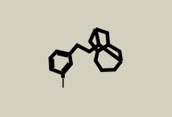 Ic1cccc(CCC2C3CCCC4CC2CC4C3)c1